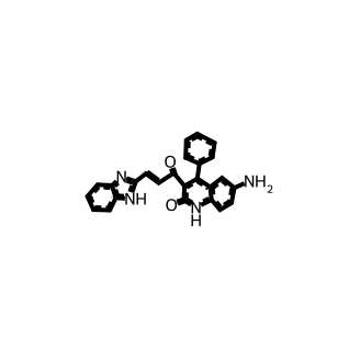 Nc1ccc2[nH]c(=O)c(C(=O)C=Cc3nc4ccccc4[nH]3)c(-c3ccccc3)c2c1